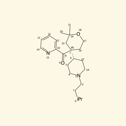 CC(C)CCN1CCC([C@@]2(C(=O)c3ccccn3)CCOC(C)(C)C2)CC1